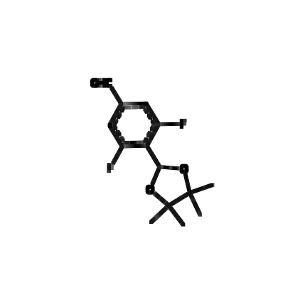 CC1(C)OC(c2c(F)cc(C=O)cc2F)OC1(C)C